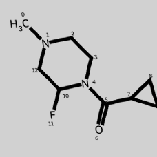 CN1CCN(C(=O)C2CC2)C(F)C1